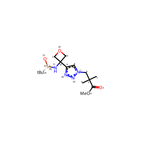 COC(=O)C(C)(C)Cn1cc(C2(N[S@@+]([O-])C(C)(C)C)COC2)nn1